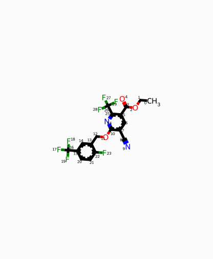 CCOC(=O)c1cc(C#N)c(OCc2cc(C(F)(F)F)ccc2F)nc1C(F)(F)F